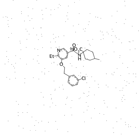 CCc1ncc(C(=O)NC2(C(=O)O)CCC(C)CC2)cc1OCCc1cccc(Cl)c1